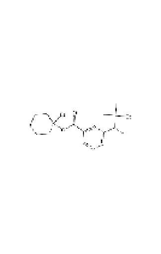 CCC1(OC(=O)c2cccc(C(C)C(C)(C)CC)c2)CCCCC1